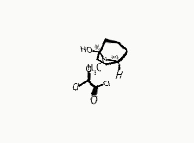 CN1[C@@H]2CCC[C@@]1(O)CC2.O=C(Cl)C(=O)Cl